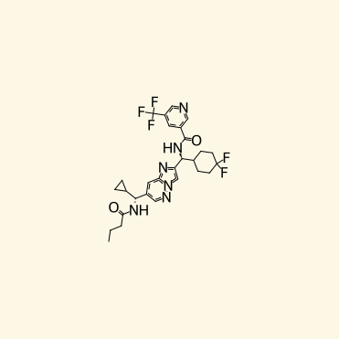 CCCC(=O)N[C@@H](c1cnn2cc([C@@H](NC(=O)c3cncc(C(F)(F)F)c3)C3CCC(F)(F)CC3)nc2c1)C1CC1